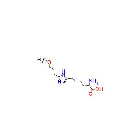 COCCCc1ncc(CCCC[C@@H](N)C(=O)O)[nH]1